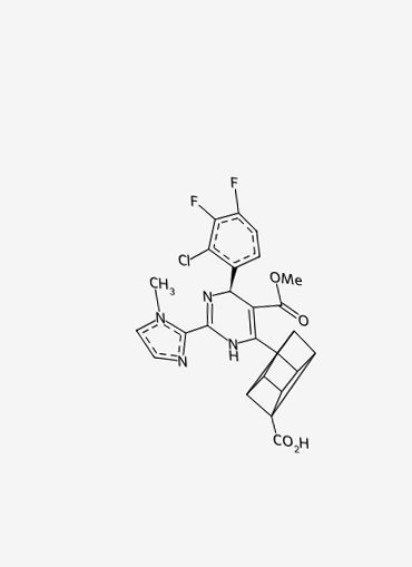 COC(=O)C1=C(C23C4C5C2C2C3C4C52C(=O)O)NC(c2nccn2C)=N[C@H]1c1ccc(F)c(F)c1Cl